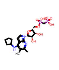 Cc1nc2c(ccn2[C@@H]2O[C@H](COP(=O)(O)CP(=O)(O)O)[C@@H](O)[C@H]2O)c(NC2CCCC2)c1C#N